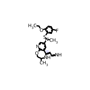 CCOc1ccc(F)cc1SN(C)c1cnc2c(c1)/C(=C/C=N)NC(C)CO2